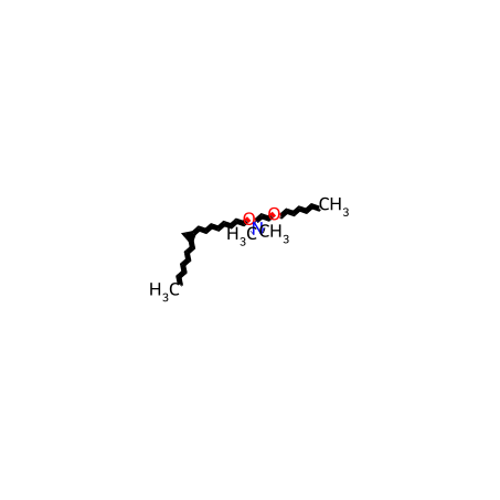 CCCCCCCCOCCC(OCCCCCCCCC1CC1CCCCCCCC)N(C)C